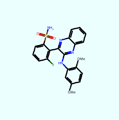 COc1ccc(OC)c(Nc2nc3ccccc3nc2-c2c(F)cccc2S(N)(=O)=O)c1